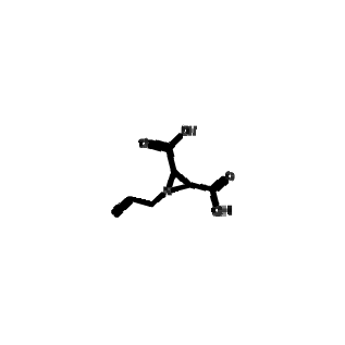 C=CCN1C(C(=O)O)C1C(=O)O